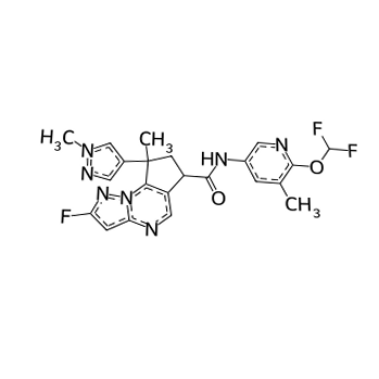 Cc1cc(NC(=O)C2CC(C)(c3cnn(C)c3)c3c2cnc2cc(F)nn32)cnc1OC(F)F